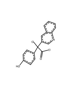 O=C(Cl)C(Cl)(c1ccc(O)cc1)c1cnc2ccccc2c1